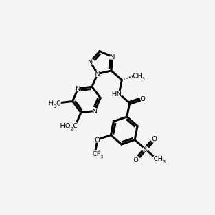 Cc1nc(-n2ncnc2[C@H](C)NC(=O)c2cc(OC(F)(F)F)cc(S(C)(=O)=O)c2)cnc1C(=O)O